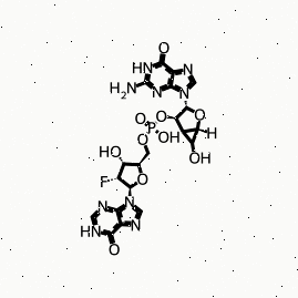 Nc1nc2c(ncn2[C@@H]2O[C@@H]3C(O)C3[C@H]2OP(=O)(O)OC[C@H]2O[C@@H](n3cnc4c(=O)[nH]cnc43)[C@H](F)[C@@H]2O)c(=O)[nH]1